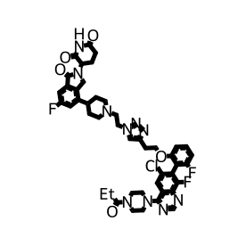 CCC(=O)N1CCN(c2ncnc3c(F)c(-c4c(F)cccc4OCCc4cn(CCN5CCC(c6cc(F)cc7c6CN(C6CCC(=O)NC6=O)C7=O)CC5)nn4)c(Cl)cc23)CC1